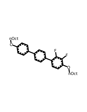 CCCCCCCCOc1ccc(-c2ccc(-c3ccc(OCCCCCCCC)c(F)c3F)cc2)cc1